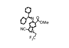 COC(=O)c1cc2c(cc1N=C(c1ccccc1)c1ccccc1)c(C#N)cn2CC(F)(F)F